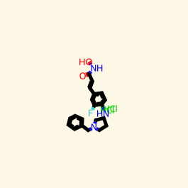 Cl.Cl.O=C(/C=C/c1ccc(N[C@@H]2CCN(Cc3ccccc3)C2)c(F)c1)NO